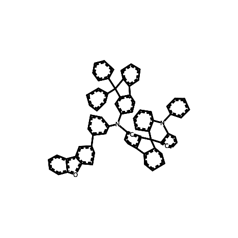 c1ccc(N2c3ccccc3C3(c4ccccc4-c4ccc(N(c5cccc(-c6ccc7oc8ccccc8c7c6)c5)c5ccc6c(c5)C(c5ccccc5)(c5ccccc5)c5ccccc5-6)cc43)c3ccccc32)cc1